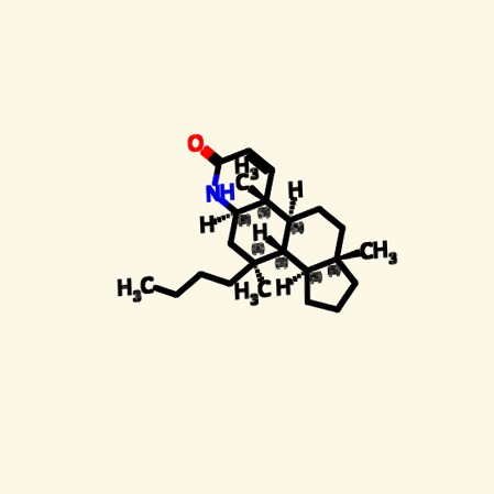 CCCC[C@@]1(C)C[C@H]2NC(=O)C=C[C@]2(C)[C@H]2CC[C@]3(C)CCC[C@H]3[C@@H]21